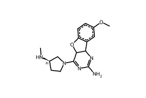 CN[C@@H]1CCN(C2=NC(N)=NC3c4cc(OC)ccc4OC23)C1